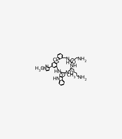 CN1C(=O)[C@H](CCCCN)NC(=O)[C@H](CCCN)NCc2ccccc2Sc2c(Cl)cc(-c3ccn(C)n3)cc2CNC(=O)[C@@H]1Cc1c[nH]c2ccccc12